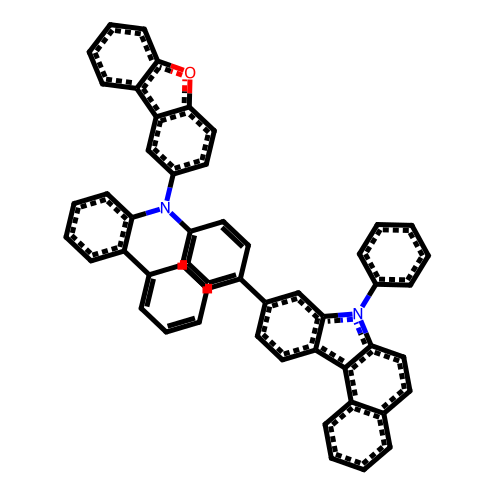 C1=C=C(N(c2ccc3oc4ccccc4c3c2)c2ccccc2C2=CC=CCC2)C=CC=1c1ccc2c3c4ccccc4ccc3n(-c3ccccc3)c2c1